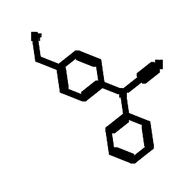 N#CN(c1ccccc1)c1ccc(CBr)cc1